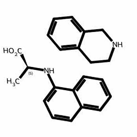 C[C@H](Nc1cccc2ccccc12)C(=O)O.c1ccc2c(c1)CCNC2